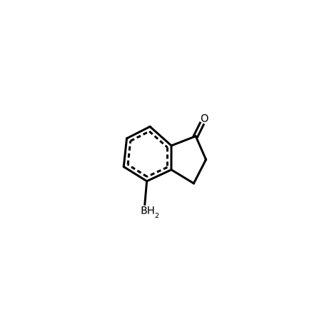 Bc1cccc2c1CCC2=O